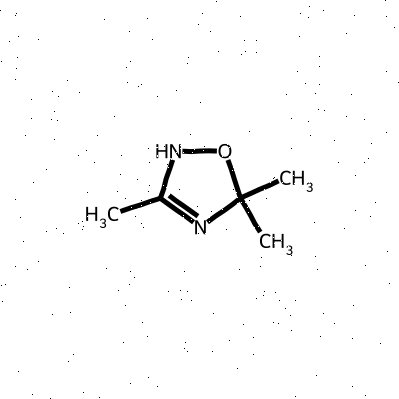 CC1=NC(C)(C)ON1